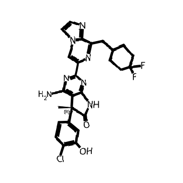 C[C@]1(c2ccc(Cl)c(O)c2)C(=O)Nc2nc(-c3cn4ccnc4c(CC4CCC(F)(F)CC4)n3)nc(N)c21